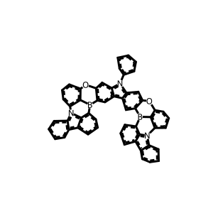 c1ccc(-n2c3cc4c(cc3c3cc5c(cc32)Oc2cccc3c2B5c2cccc5c6ccccc6n-3c25)B2c3c(cccc3-n3c5ccccc5c5cccc2c53)O4)cc1